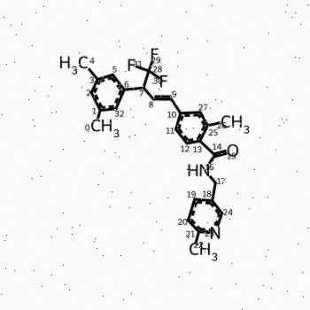 Cc1cc(C)cc(C(/C=C/c2ccc(C(=O)NCc3ccc(C)nc3)c(C)c2)C(F)(F)F)c1